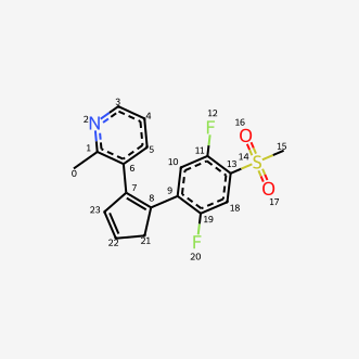 Cc1ncccc1C1=C(c2cc(F)c(S(C)(=O)=O)cc2F)CC=C1